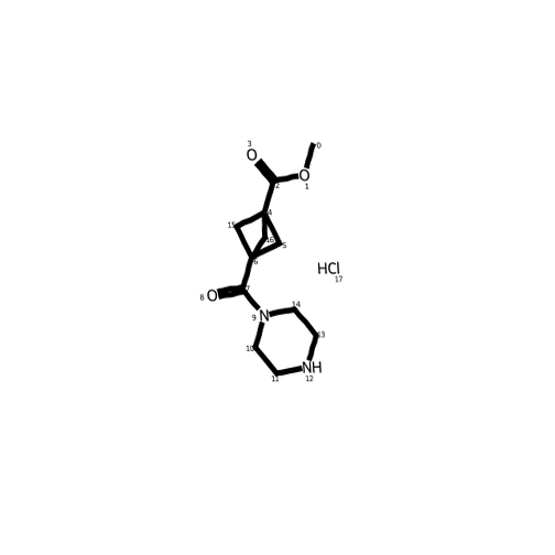 COC(=O)C12CC(C(=O)N3CCNCC3)(C1)C2.Cl